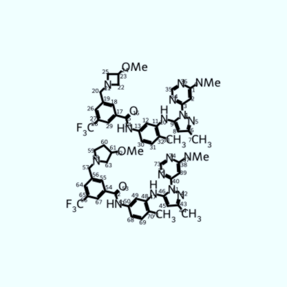 CNc1cc(-n2nc(C)cc2Nc2cc(NC(=O)c3cc(CN4CC(OC)C4)cc(C(F)(F)F)c3)ccc2C)ncn1.CNc1cc(-n2nc(C)cc2Nc2cc(NC(=O)c3cc(CN4CCC(OC)C4)cc(C(F)(F)F)c3)ccc2C)ncn1